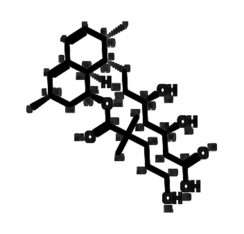 C[C@H]1C=C2C=C[C@H](C)[C@H](CC[C@@H](O)C[C@@H](O)CC(=O)O)[C@H]2[C@@H](OC(=O)C(C)(C)CCCO)C1